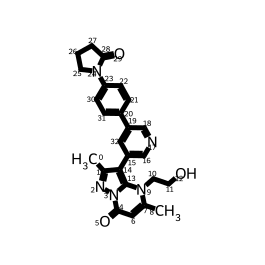 Cc1nn2c(=O)cc(C)n(CCO)c2c1-c1cncc(-c2ccc(N3CCCC3=O)cc2)c1